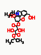 CC(C)OC(=O)[C@@H](O)[C@H](O)C(=O)OC1=CC[C@@]2(O)[C@H]3Cc4ccc(CO)c5c4C2(CCN3C)C1O5